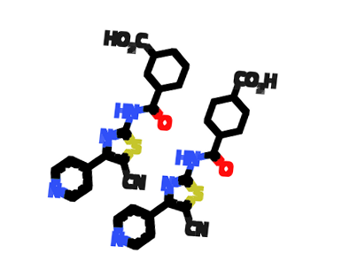 N#Cc1sc(NC(=O)C2CCC(C(=O)O)CC2)nc1-c1ccncc1.N#Cc1sc(NC(=O)C2CCCC(C(=O)O)C2)nc1-c1ccncc1